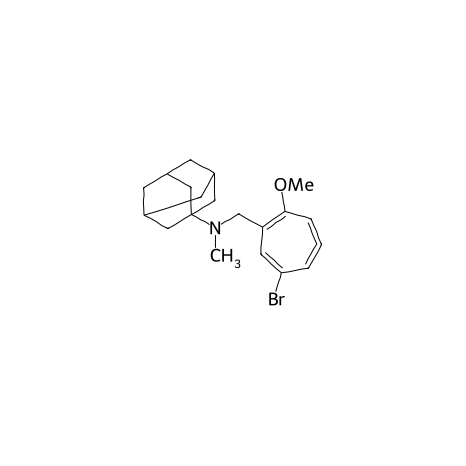 COC1=C(CN(C)C23CC4CC(CC(C4)C2)C3)C=C(Br)C=C=C1